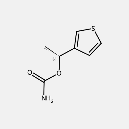 C[C@@H](OC(N)=O)c1ccsc1